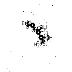 CCC(CC)C(=O)c1cccc(C(=O)Oc2ccc(-c3ccc(OC(C)(CC)CC)c(C(O)(C(F)(F)F)C(F)(F)F)c3)cc2C(O)(C(F)(F)F)C(F)(F)F)c1